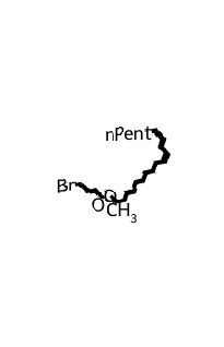 CCCCC/C=C\C/C=C\CCCCCCCCC(C)OC(=O)CCCBr